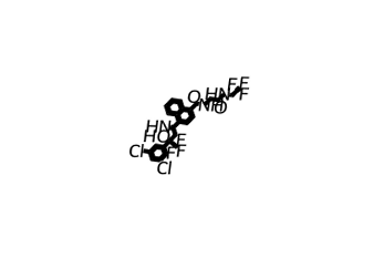 N=C(CC(O)(c1cc(Cl)cc(Cl)c1)C(F)(F)F)c1ccc(C(=O)NCC(=O)NCC(F)(F)F)c2ccccc12